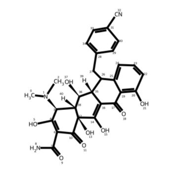 CN(C)[C@@H]1C(O)=C(C(N)=O)C(=O)[C@@]2(O)C(O)=C3C(=O)c4c(O)cccc4C(Cc4ccc(C#N)cc4)[C@H]3[C@H](O)[C@@H]12